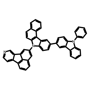 c1ccc(-n2c3ccccc3c3cc(-c4ccc5c(c4)c4c6ccccc6ccc4n5-c4cc5c6c(cccc6c4)-c4ccncc4-5)ccc32)cc1